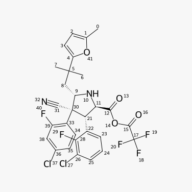 Cc1ccc(C(C)(C)C[C@@H]2N[C@@H](C(=O)OC(=O)C(F)(F)F)[C@H](c3cccc(Cl)c3F)[C@@]2(C#N)c2ccc(Cl)cc2F)o1